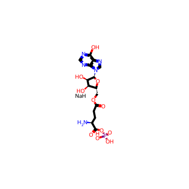 N[C@@H](CCC(=O)OC[C@H]1O[C@@H](n2cnc3c(O)ncnc32)[C@H](O)[C@@H]1O)C(=O)OP(=O)(O)O.[NaH]